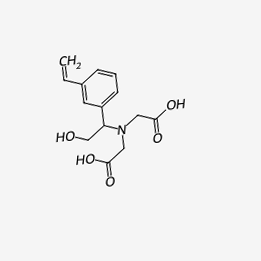 C=Cc1cccc(C(CO)N(CC(=O)O)CC(=O)O)c1